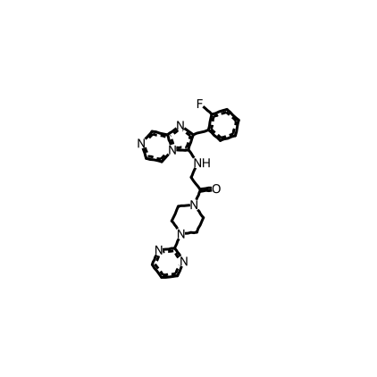 O=C(CNc1c(-c2ccccc2F)nc2cnccn12)N1CCN(c2ncccn2)CC1